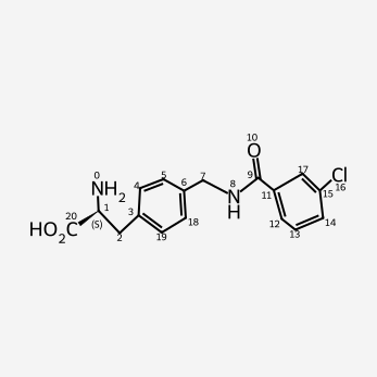 N[C@@H](Cc1ccc(CNC(=O)c2cccc(Cl)c2)cc1)C(=O)O